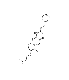 Cc1c(OCCN(C)C)ccc2cc(NC(=O)OCc3ccccc3)c(=O)oc12